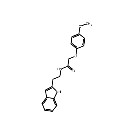 COc1ccc(OCC(=O)NCCc2cc3ccccc3[nH]2)cc1